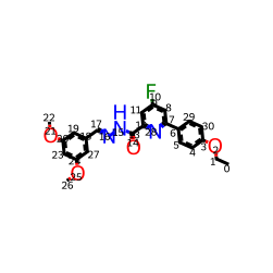 CCOc1ccc(-c2cc(F)cc(C(=O)NN=Cc3cc(OC)cc(OC)c3)n2)cc1